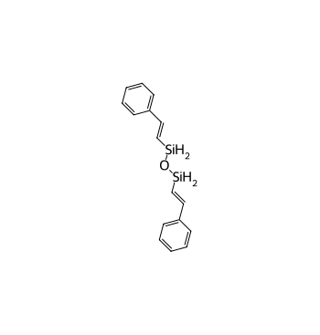 C(=Cc1ccccc1)[SiH2]O[SiH2]C=Cc1ccccc1